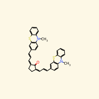 CN1c2ccccc2Sc2cc(C=CC=C3CCC(=CC=Cc4ccc5c(c4)Sc4ccccc4N5C)C3=O)ccc21